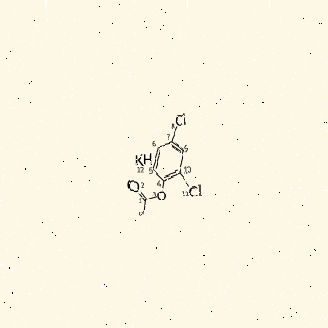 CC(=O)Oc1ccc(Cl)cc1Cl.[KH]